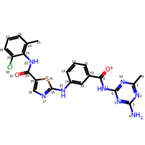 Cc1nc(N)nc(NC(=O)c2cccc(Nc3ncc(C(=O)Nc4c(C)cccc4Cl)s3)c2)n1